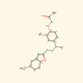 CCC(CCc1cc2cc(C(=O)O)ccc2o1)c1ccc(OCC(=O)C(C)(C)C)c(C(C)C)c1